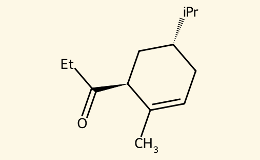 CCC(=O)[C@H]1C[C@H](C(C)C)CC=C1C